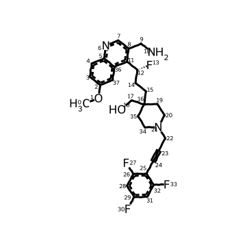 COc1ccc2ncc(CN)c([C@H](F)CCC3(CO)CCN(CC#Cc4c(F)cc(F)cc4F)CC3)c2c1